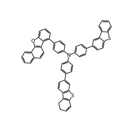 C1=Cc2sc3cc(-c4ccc(N(c5ccc(-c6ccc7sc8ccccc8c7c6)cc5)c5ccc(-c6cccc7oc8c9ccccc9ccc8c67)cc5)cc4)ccc3c2CC1